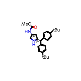 COC(=O)N[C@H]1CN[C@H](C(c2ccc(C(C)(C)C)cc2)c2ccc(C(C)(C)C)cc2)C1